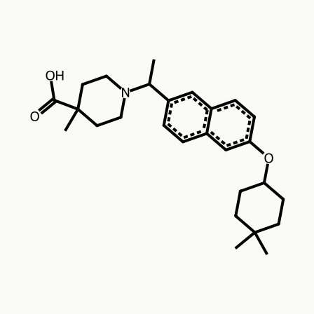 CC(c1ccc2cc(OC3CCC(C)(C)CC3)ccc2c1)N1CCC(C)(C(=O)O)CC1